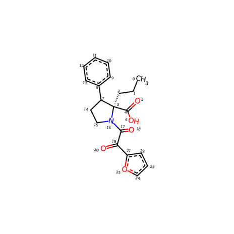 CCC[C@@]1(C(=O)O)C(c2ccccc2)CCN1C(=O)C(=O)c1ccco1